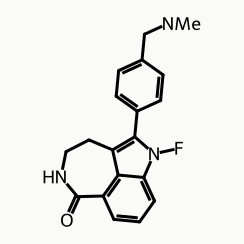 CNCc1ccc(-c2c3c4c(cccc4n2F)C(=O)NCC3)cc1